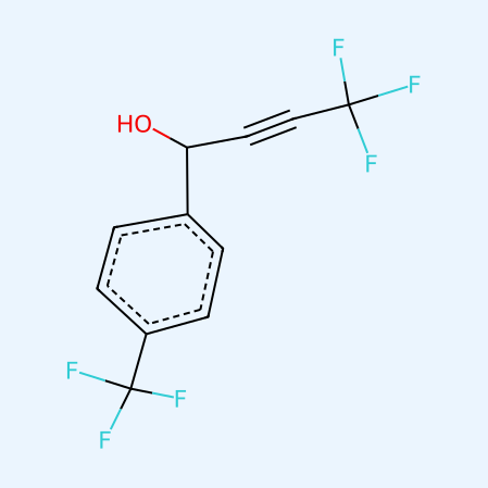 OC(C#CC(F)(F)F)c1ccc(C(F)(F)F)cc1